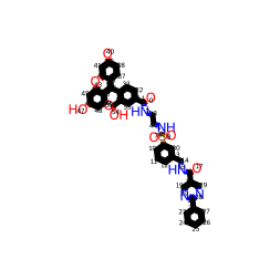 O=C(NCCNS(=O)(=O)c1cccc(CNC(=O)c2cnc(-c3ccccc3)nc2)c1)c1ccc(-c2c3ccc(=O)cc-3oc3cc(O)ccc23)c(C(=O)O)c1